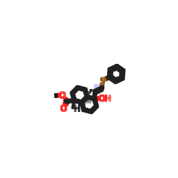 COC(=O)[C@]1(C)CCC[C@]2(C)[C@@H]1CCCC2(O)/C=C/Sc1ccccc1